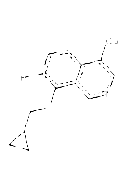 CC(C)(C)c1cncc2c(OCC3CC3)c(F)ccc12